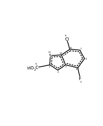 O=C(O)c1cc2c(F)ccc(Cl)c2s1